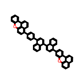 c1ccc2c(c1)Oc1ccc(-c3ccc(-c4ccc(-c5ccc(-c6ccc7c(c6)Oc6cccc8cccc-7c68)c6ccccc56)c5ccccc45)cc3)c3cccc-2c13